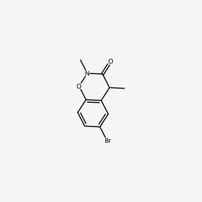 CC1C(=O)N(C)Oc2ccc(Br)cc21